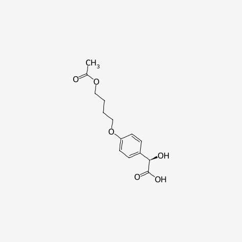 CC(=O)OCCCCOc1ccc([C@@H](O)C(=O)O)cc1